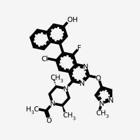 CC(=O)N1C[C@H](C)N(c2nc(Oc3cnn(C)c3)nc3c(F)c(-c4cc(O)cc5ccccc45)c(Cl)cc23)C[C@H]1C